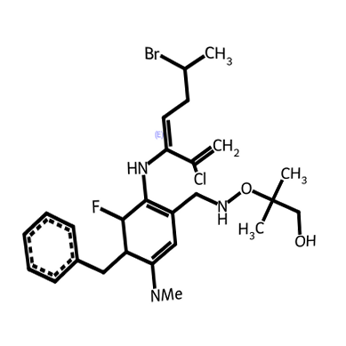 C=C(Cl)/C(=C\CC(C)Br)NC1=C(CNOC(C)(C)CO)C=C(NC)C(Cc2ccccc2)C1F